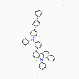 C1=Cc2c(c3ccc4ccccc4c3n2-c2ccccc2)C(c2cccc(N(c3ccccc3)c3ccc(-c4ccc(-c5ccccc5)cc4)cc3)c2)C1